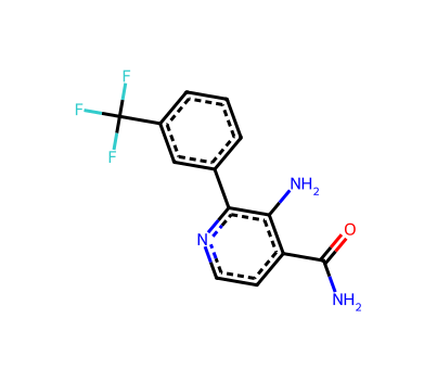 NC(=O)c1ccnc(-c2cccc(C(F)(F)F)c2)c1N